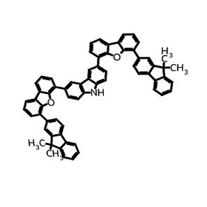 CC1(C)c2ccccc2-c2ccc(-c3cccc4c3oc3c(-c5ccc6[nH]c7ccc(-c8cccc9c8oc8c(-c%10ccc%11c(c%10)C(C)(C)c%10ccccc%10-%11)cccc89)cc7c6c5)cccc34)cc21